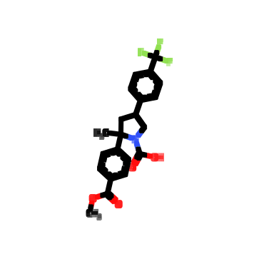 COC(=O)c1ccc(C2(C)CC(c3ccc(C(F)(F)F)cc3)CN2C(=O)O)cc1